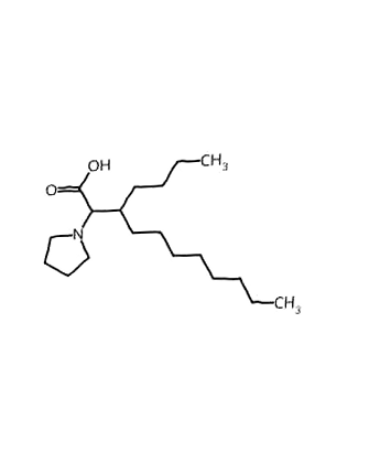 CCCCCCCCC(CCCC)C(C(=O)O)N1CCCC1